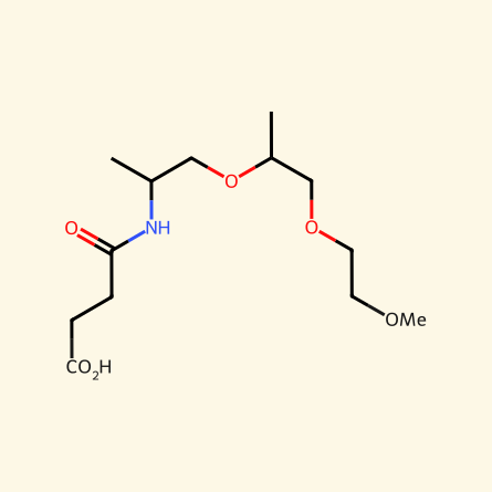 COCCOCC(C)OCC(C)NC(=O)CCC(=O)O